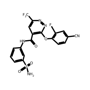 N#Cc1ccc(Oc2nnc(C(F)(F)F)cc2C(=O)Nc2cccc(S(N)(=O)=O)c2)c(F)c1